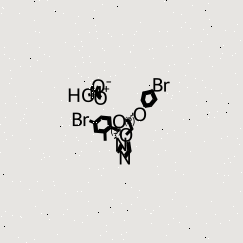 Cc1cc(Br)ccc1[C@]1(Cn2ccnc2)OC[C@@H](COc2ccc(Br)cc2)O1.O=[N+]([O-])O